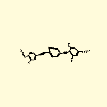 CCCc1cc(F)c(C#Cc2ccc(C#Cc3ccc(N=C=S)c(F)c3)cc2)c(F)c1